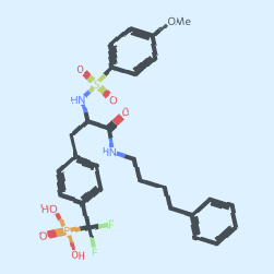 COc1ccc(S(=O)(=O)NC(Cc2ccc(C(F)(F)P(=O)(O)O)cc2)C(=O)NCCCCc2ccccc2)cc1